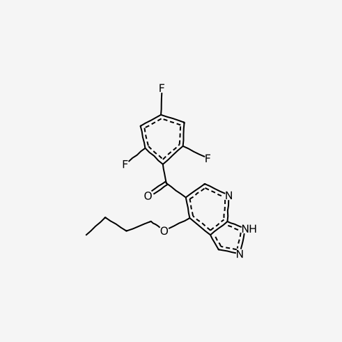 CCCCOc1c(C(=O)c2c(F)cc(F)cc2F)cnc2[nH]ncc12